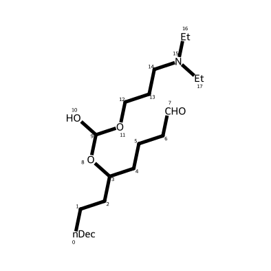 CCCCCCCCCCCCC(CCCC=O)OC(O)OCCCN(CC)CC